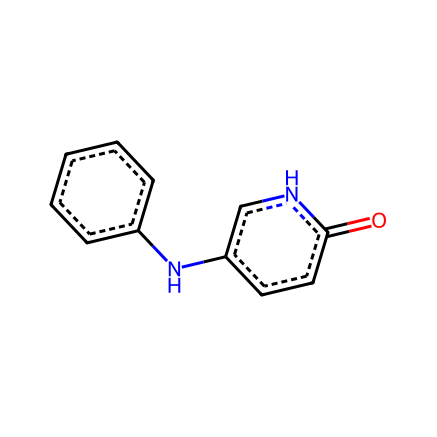 O=c1ccc(Nc2ccccc2)c[nH]1